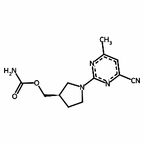 Cc1cc(C#N)nc(N2CC[C@@H](COC(N)=O)C2)n1